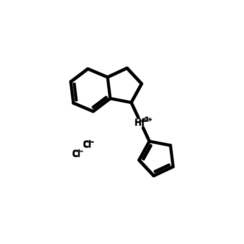 C1=CC[C]([Hf+2][CH]2CCC3CC=CC=C32)=C1.[Cl-].[Cl-]